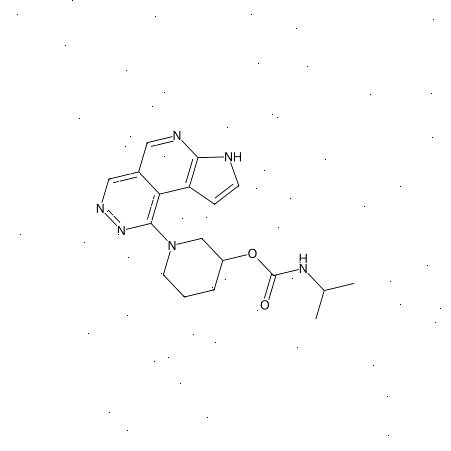 CC(C)NC(=O)OC1CCCN(c2nncc3cnc4[nH]ccc4c23)C1